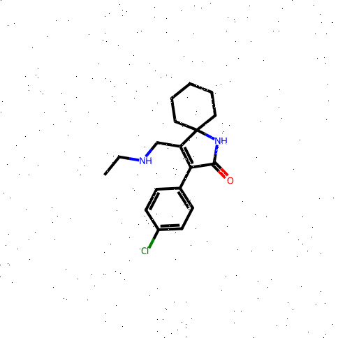 CCNCC1=C(c2ccc(Cl)cc2)C(=O)NC12CCCCC2